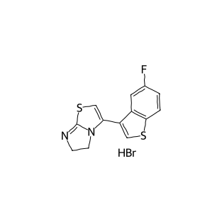 Br.Fc1ccc2scc(C3=CSC4=NCCN34)c2c1